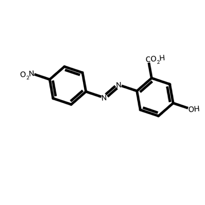 O=C(O)c1cc(O)ccc1N=Nc1ccc([N+](=O)[O-])cc1